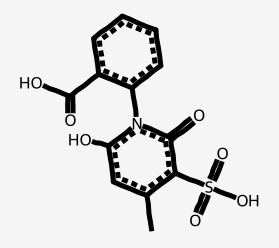 Cc1cc(O)n(-c2ccccc2C(=O)O)c(=O)c1S(=O)(=O)O